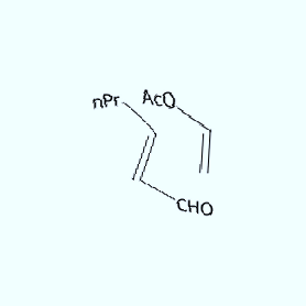 C=COC(C)=O.CCCC=CC=O